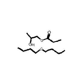 CCC(=O)OCC(C)O.CCCCOCCCC